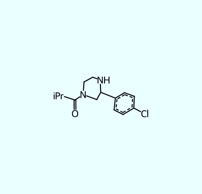 CC(C)C(=O)N1CCNC(c2ccc(Cl)cc2)C1